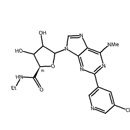 CCNC(=O)[C@@H]1OC(n2cnc3c(NC)nc(-c4cncc(Cl)c4)nc32)C(O)C1O